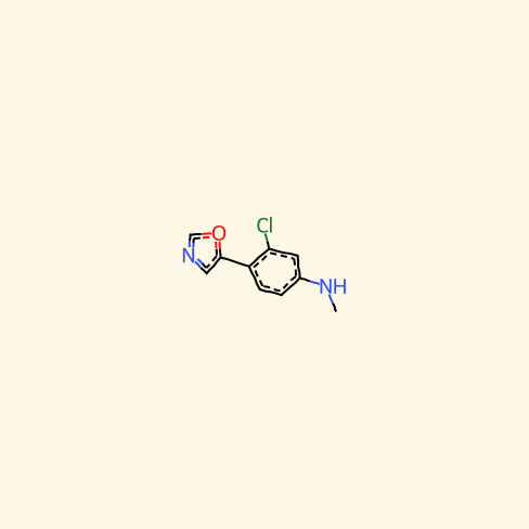 CNc1ccc(-c2cnco2)c(Cl)c1